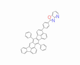 c1ccc(-c2c3cc4c5ccccc5c5cccc(c3c(-c3ccccc3)c3c6cccc7c(-c8ccc(-c9nc%10ncccc%10o9)cc8)ccc(c23)c76)c54)cc1